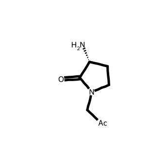 CC(=O)CN1CC[C@@H](N)C1=O